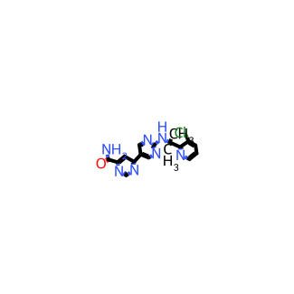 CC(C)(Nc1ncc(-c2cc(C(N)=O)ncn2)cn1)c1ncccc1Cl